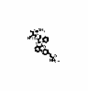 CCC(Nc1nc(N)nc(C)c1C#N)c1nc2cccc(N3CCC(CCC(=O)NO)CC3)c2c(=O)n1-c1ccccc1